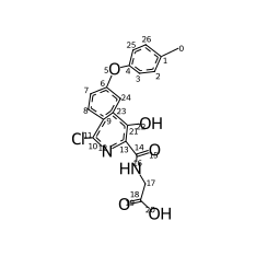 Cc1ccc(Oc2ccc3c(Cl)nc(C(=O)NCC(=O)O)c(O)c3c2)cc1